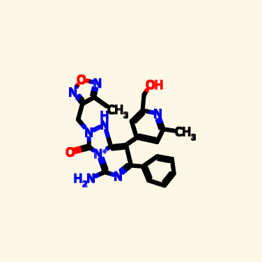 Cc1cc(-c2c(-c3ccccc3)nc(N)[n+]3c(=O)n(Cc4nonc4C)[nH]c23)cc(CO)n1